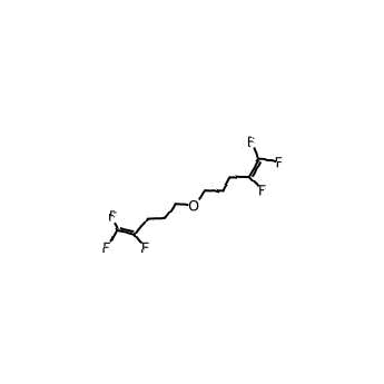 FC(F)=C(F)CCCOCCCC(F)=C(F)F